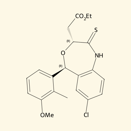 CCOC(=O)C[C@H]1O[C@H](c2cccc(OC)c2C)c2cc(Cl)ccc2NC1=S